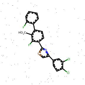 O=C(O)c1c(-c2ccccc2F)ccc(-c2nc(-c3ccc(Cl)c(Cl)c3)cs2)c1F